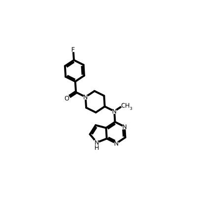 CN(c1ncnc2[nH]ccc12)C1CCN(C(=O)c2ccc(F)cc2)CC1